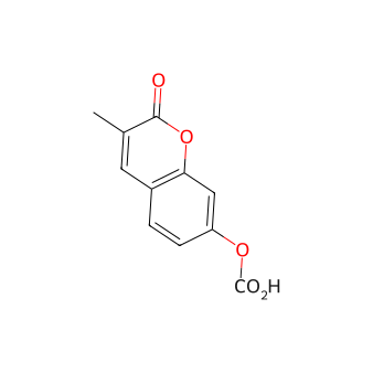 Cc1cc2ccc(OC(=O)O)cc2oc1=O